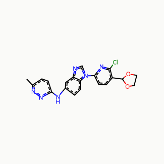 Cc1ccc(Nc2ccc3c(c2)ncn3-c2ccc(C3OCCO3)c(Cl)n2)nn1